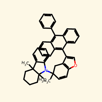 CC1(N2c3ccccc3C3(C)CCCCC23C)C=Cc2occ(-c3c4ccccc4c(-c4ccccc4)c4ccccc34)c2C1